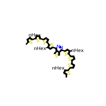 CCCCCCc1cc(C)sc1-c1ccc(-c2ccc(-c3sc(-c4nnc(-c5cc(CCCCCC)c(-c6ccc(-c7ccc(-c8sc(C)cc8CCCCCC)s7)s6)s5)c5cscc45)cc3CCCCCC)s2)s1